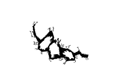 CCc1ccc2cc3ccc(CC)cc3nc2c1